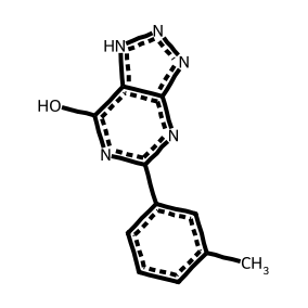 Cc1cccc(-c2nc(O)c3[nH]nnc3n2)c1